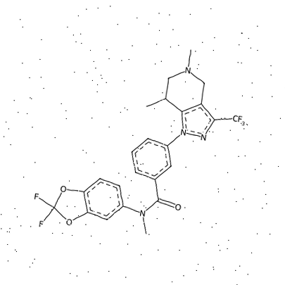 CC1CN(C)Cc2c(C(F)(F)F)nn(-c3cccc(C(=O)N(C)c4ccc5c(c4)OC(F)(F)O5)c3)c21